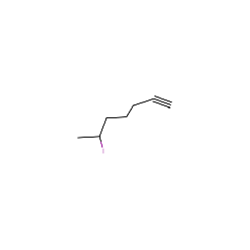 C#CCCCC(C)I